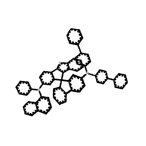 c1ccc(-c2ccc(N(c3ccc(-c4ccccc4)cc3)c3ccc4c(c3)C3(c5ccccc5-4)c4cc(N(c5ccccc5)c5cccc6ccccc56)ccc4-c4sc5ccccc5c43)cc2)cc1